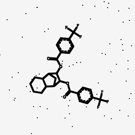 O=C(OC1C2CC(C3CCCCC32)C1OC(=O)c1ccc(C(F)(F)F)cc1)c1ccc(C(F)(F)F)cc1